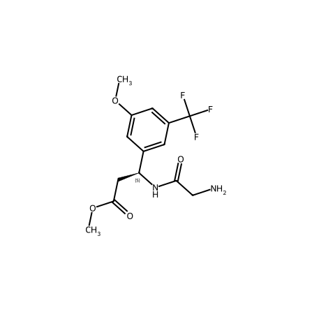 COC(=O)C[C@H](NC(=O)CN)c1cc(OC)cc(C(F)(F)F)c1